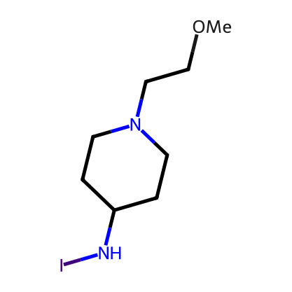 COCCN1CCC(NI)CC1